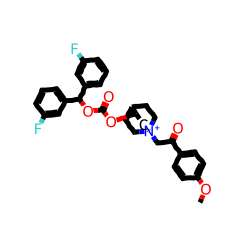 COc1ccc(C(=O)C[N+]23CCC(CC2)C(OC(=O)OC(c2cccc(F)c2)c2cccc(F)c2)C3)cc1